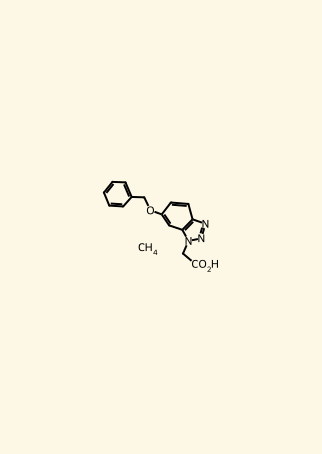 C.O=C(O)Cn1nnc2ccc(OCc3ccccc3)cc21